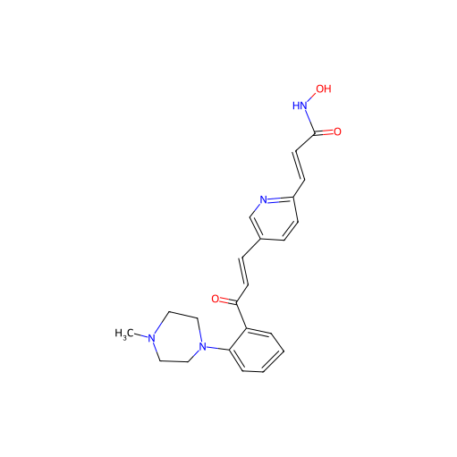 CN1CCN(c2ccccc2C(=O)/C=C/c2ccc(/C=C/C(=O)NO)nc2)CC1